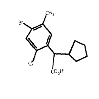 Cc1cc(C(C(=O)O)C2CCCC2)c(Cl)cc1Br